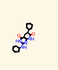 O=C1Nc2nc(Nc3ccccc3)[nH]c(=O)c2CC1c1ccccc1